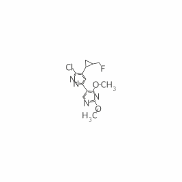 COc1ncc(-c2cc(C3CC3CF)c(Cl)nn2)c(OC)n1